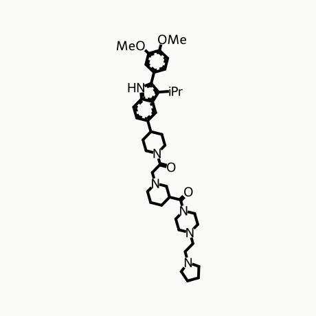 COc1ccc(-c2[nH]c3ccc(C4CCN(C(=O)CN5CCCC(C(=O)N6CCN(CCN7CCCC7)CC6)C5)CC4)cc3c2C(C)C)cc1OC